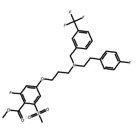 COC(=O)c1c(F)cc(OCCCN(CCc2ccc(F)cc2)Cc2cccc(C(F)(F)F)c2)cc1S(C)(=O)=O